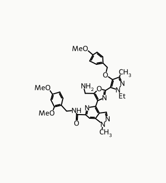 CCn1nc(C)c(OCc2ccc(OC)cc2)c1-c1nc(-c2nc(C(=O)NCc3ccc(OC)cc3OC)cc3c2cnn3C)c(CN)o1